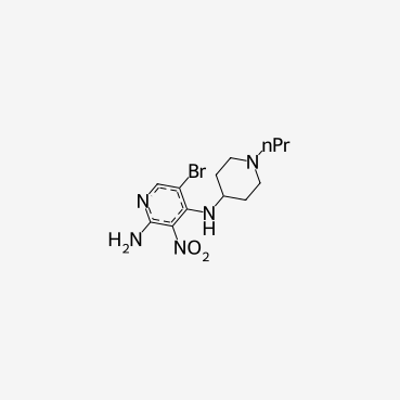 CCCN1CCC(Nc2c(Br)cnc(N)c2[N+](=O)[O-])CC1